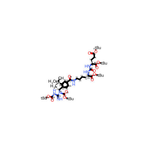 CC(C)(C)OC(=O)CC[C@H](NC(=O)N[C@@H](CCCCNC(=O)c1ccc(CN(C(=N)NC(=O)OC(C)(C)C)C(=O)OC(C)(C)C)[c]([Sn]([CH3])([CH3])[CH3])c1)C(=O)OC(C)(C)C)C(=O)OC(C)(C)C